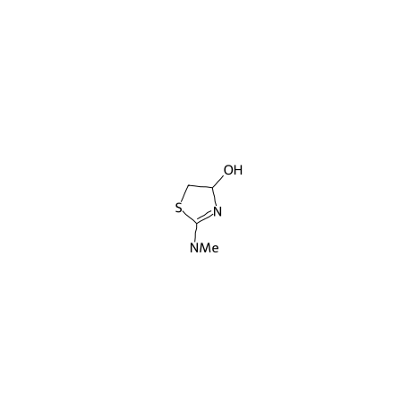 CNC1=NC(O)CS1